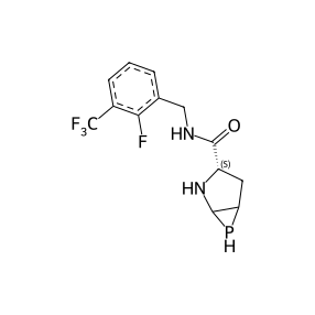 O=C(NCc1cccc(C(F)(F)F)c1F)[C@@H]1CC2PC2N1